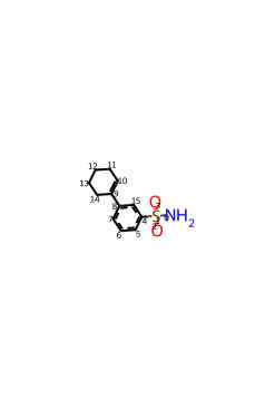 NS(=O)(=O)c1cccc(C2=CCCCC2)c1